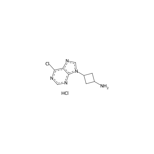 Cl.NC1CC(n2cnc3c(Cl)ncnc32)C1